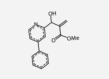 C=C(C(=O)OC)C(O)c1cc(-c2ccccc2)ccn1